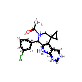 CC(=O)N1CC2(CC2)c2c([nH]c3ncncc23)C1c1cccc(F)c1